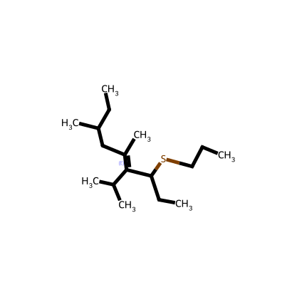 CCCSC(CC)/C(=C(\C)CC(C)CC)C(C)C